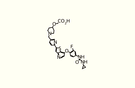 O=C(O)COC1CCN(Cc2ccc(-c3cc4nccc(Oc5ccc(NC(=O)NC6CC6)cc5F)c4s3)nc2)CC1